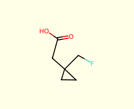 O=C(O)CC1(CF)CC1